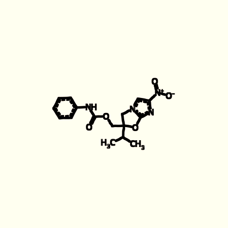 CC(C)C1(COC(=O)Nc2ccccc2)Cn2cc([N+](=O)[O-])nc2O1